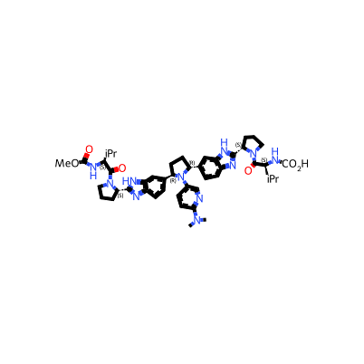 COC(=O)N[C@H](C(=O)N1CCC[C@H]1c1nc2ccc([C@H]3CC[C@H](c4ccc5nc([C@@H]6CCCN6C(=O)[C@@H](NC(=O)O)C(C)C)[nH]c5c4)N3c3ccc(N(C)C)nc3)cc2[nH]1)C(C)C